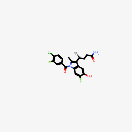 CC[C@@H](CCC(N)=O)c1c(C)n(C(=O)c2ccc(Cl)c(F)c2)c2cc(F)c(O)cc12